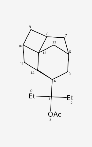 CCC(CC)(OC(C)=O)C12CC3CC4CC(C1)C4(C3)C2